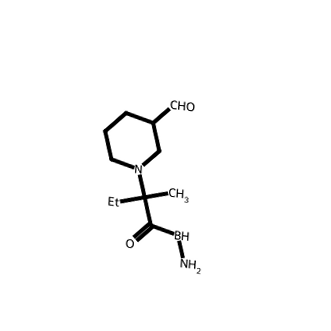 CCC(C)(C(=O)BN)N1CCCC(C=O)C1